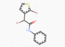 O=C(Nc1ccccc1)C(Br)c1ccsc1Br